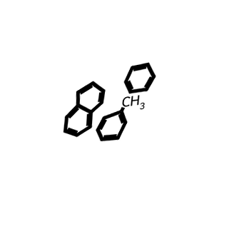 Cc1ccccc1.c1ccc2ccccc2c1.c1ccccc1